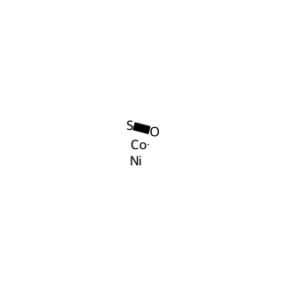 O=S.[Co].[Ni]